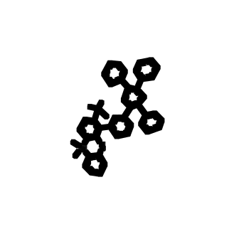 CC(C)(C)c1ccc2c(c1-c1cccc(-c3cc(-c4ccccc4)c(-c4ccccc4)cc3-c3ccccc3)c1)Sc1ccccc1[Si]2(C)C